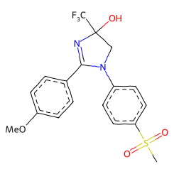 COc1ccc(C2=NC(O)(C(F)(F)F)CN2c2ccc(S(C)(=O)=O)cc2)cc1